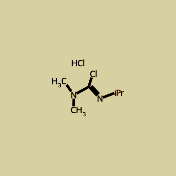 CC(C)N=C(Cl)N(C)C.Cl